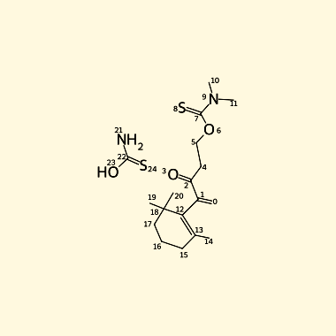 C=C(C(=O)CCOC(=S)N(C)C)C1=C(C)CCCC1(C)C.NC(O)=S